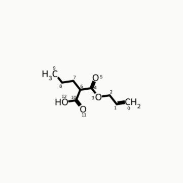 C=CCOC(=O)C(CCC)C(=O)O